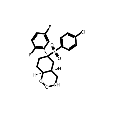 O=S(=O)(c1ccc(Cl)cc1)[C@]1(c2cc(F)ccc2F)CC[C@@H]2OONC[C@@H]2C1